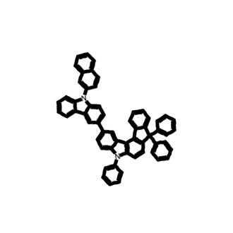 c1ccc(-n2c3ccc(-c4ccc5c(c4)c4ccccc4n5-c4ccc5ccccc5c4)cc3c3c4c(ccc32)C(c2ccccc2)(c2ccccc2)c2ccccc2-4)cc1